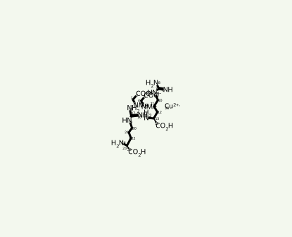 CNCC(=O)[O-].CNCC(=O)[O-].N=C(N)NCCC[C@H](N)C(=O)O.N=C(N)NCCC[C@H](N)C(=O)O.[Cu+2]